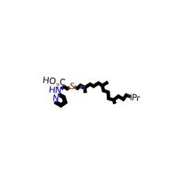 C/C(=C\CSCC(Nc1ccccn1)C(=O)O)CCCC(C)CCCC(C)CCCC(C)C